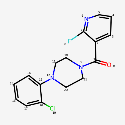 O=C(c1cccnc1F)N1CCN(c2ccccc2Cl)CC1